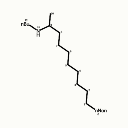 CCCCCCCCCCCCCCCCCC(C)NCCCC